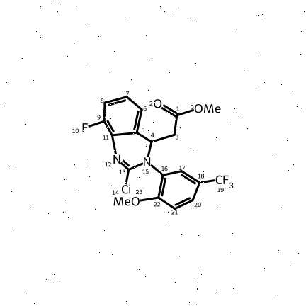 COC(=O)CC1c2cccc(F)c2N=C(Cl)N1c1cc(C(F)(F)F)ccc1OC